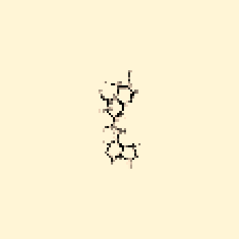 CC(Nc1ncnc2[nH]cnc12)c1nc2ccc(F)c(F)c2c(=O)[nH]1